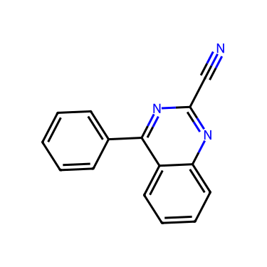 N#Cc1nc(-c2ccccc2)c2ccccc2n1